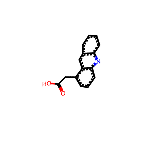 O=C(O)Cc1cccc2nc3ccccc3cc12